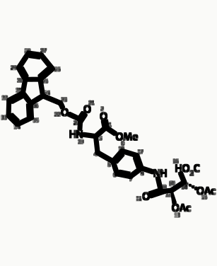 COC(=O)C(Cc1ccc(NC(=O)[C@H](OC(C)=O)[C@@H](OC(C)=O)C(=O)O)cc1)NC(=O)OCC1c2ccccc2-c2ccccc21